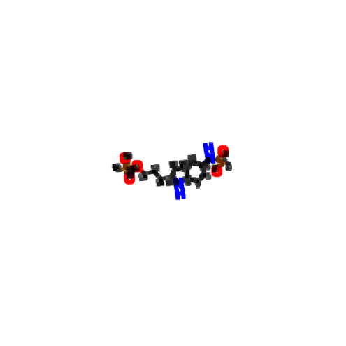 CS(=O)(=O)Nc1ccc2[nH]c(CCCOS(C)(=O)=O)cc2c1